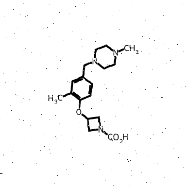 Cc1cc(CN2CCN(C)CC2)ccc1OC1CN(C(=O)O)C1